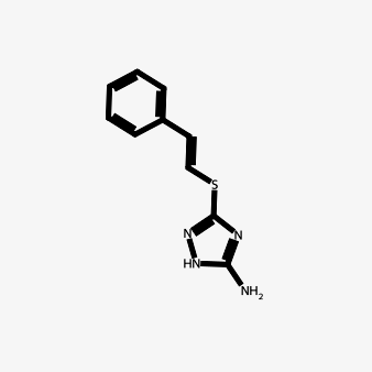 Nc1nc(SC=Cc2ccccc2)n[nH]1